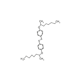 CCCCCCC(C)Oc1ccc(SSc2ccc(OC(C)CCCCCC)cc2)cc1